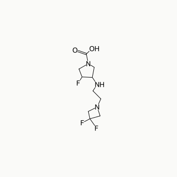 O=C(O)N1CC(F)C(NCCN2CC(F)(F)C2)C1